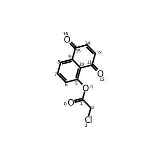 O=C(CCl)Oc1cccc2c1C(=O)C=CC2=O